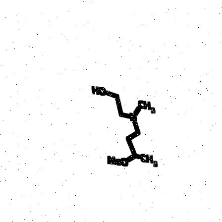 COC(C)CCN(C)CCO